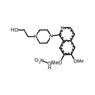 COc1cc2ccnc(N3CCN(CCO)CC3)c2cc1OC.O=[N+]([O-])O